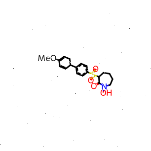 COC1=CCC(c2ccc(S(=O)(=O)C3CCCCN(O)C3=O)cc2)C=C1